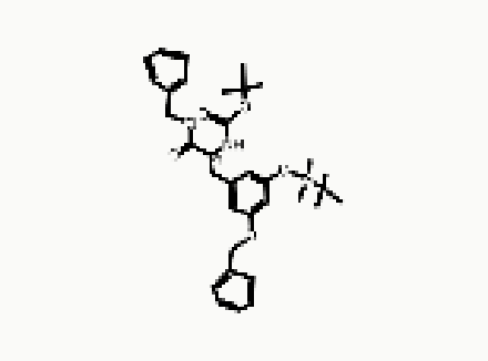 CC(C)(C)OC(=O)N[C@@H](Cc1cc(OCc2ccccc2)cc(O[Si](C)(C)C(C)(C)C)c1)C(=O)OCc1ccccc1